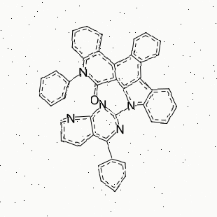 O=c1c2c(c3ccccc3c3c4ccccc4n(-c4nc(-c5ccccc5)c5cccnc5n4)c23)c2ccccc2n1-c1ccccc1